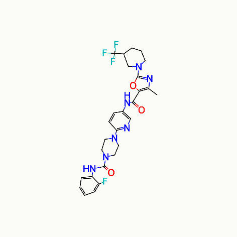 Cc1nc(N2CCCC(C(F)(F)F)C2)oc1C(=O)Nc1ccc(N2CCN(C(=O)Nc3ccccc3F)CC2)nc1